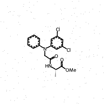 COC(=O)[C@H](C)NC(=O)CN(c1ccccc1)c1cc(Cl)cc(Cl)c1